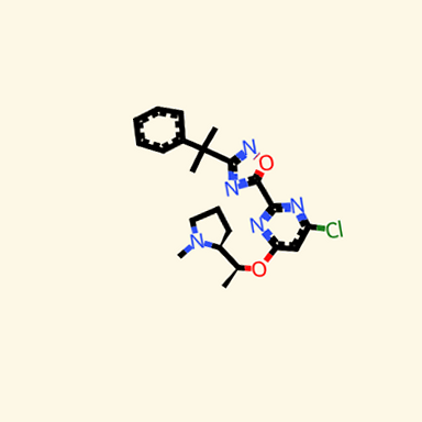 C[C@H](Oc1cc(Cl)nc(-c2nc(C(C)(C)c3ccccc3)no2)n1)[C@@H]1CCCN1C